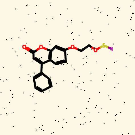 O=c1cc(-c2ccccc2)c2ccc(OCCOSI)cc2o1